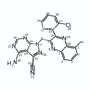 Cc1cccc2nc(Cn3nc(C#N)c4c(N)ncnc43)c(-c3ccccc3Cl)nc12